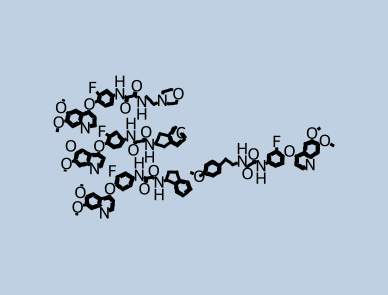 COc1cc2nccc(Oc3ccc(NC(=O)C(=O)NC4CCc5ccccc54)cc3F)c2cc1OC.COc1cc2nccc(Oc3ccc(NC(=O)C(=O)NC4Cc5ccccc5C4)cc3F)c2cc1OC.COc1cc2nccc(Oc3ccc(NC(=O)C(=O)NCCN4CCOCC4)cc3F)c2cc1OC.COc1ccc(CCNC(=O)C(=O)Nc2ccc(Oc3ccnc4cc(OC)c(OC)cc34)c(F)c2)cc1